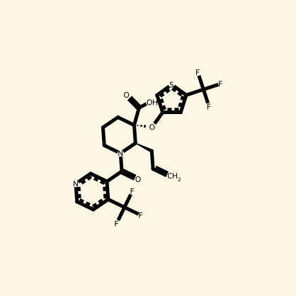 C=CC[C@H]1N(C(=O)c2cnccc2C(F)(F)F)CCC[C@@]1(Oc1csc(C(F)(F)F)c1)C(=O)O